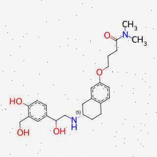 CN(C)C(=O)CCCOc1ccc2c(c1)C[C@@H](NCC(O)c1ccc(O)c(CO)c1)CC2